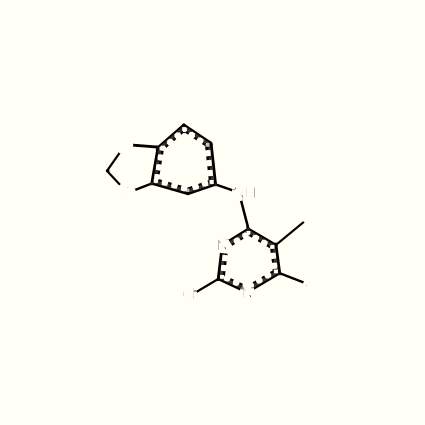 Cc1c(Cl)nc(Cl)nc1Nc1ccc2c(c1)OCO2